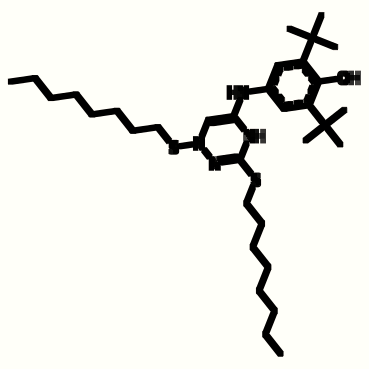 CCCCCCCCSC1=NN(SCCCCCCCC)C=C(Nc2cc(C(C)(C)C)c(O)c(C(C)(C)C)c2)N1